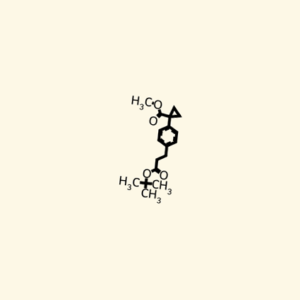 COC(=O)C1(c2ccc(CCC(=O)OC(C)(C)C)cc2)CC1